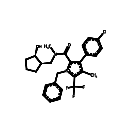 Cc1c(-c2ccc(Cl)cc2)c(C(=O)N(C)C[C@H]2CCC[C@H]2O)n(Cc2ccccc2)c1C(F)(F)F